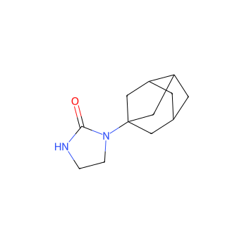 O=C1NCCN1C12CC3CC(C1)C(C3)C2